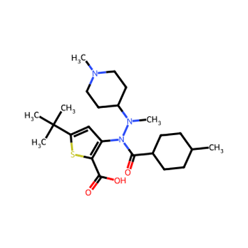 CC1CCC(C(=O)N(c2cc(C(C)(C)C)sc2C(=O)O)N(C)C2CCN(C)CC2)CC1